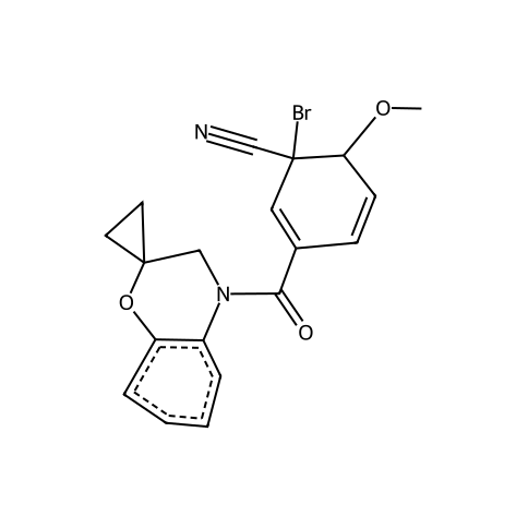 COC1C=CC(C(=O)N2CC3(CC3)Oc3ccccc32)=CC1(Br)C#N